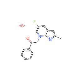 Br.Cc1cc2cc(F)cn(CC(=O)c3ccccc3)c-2n1